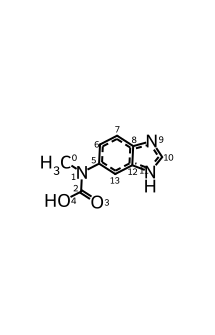 CN(C(=O)O)c1ccc2nc[nH]c2c1